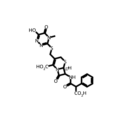 Cn1c(SCC2=C(C(=O)O)N3C(=O)C(NC(=O)C(C(=O)O)c4ccccc4)[C@@H]3SC2)nnc(O)c1=O